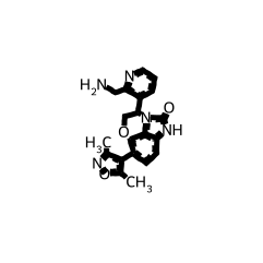 Cc1noc(C)c1-c1ccc2[nH]c(=O)n3c2c1OCC3c1cccnc1CN